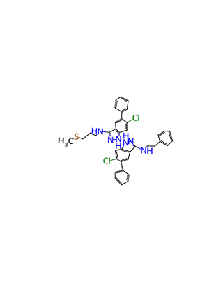 CSCCCNc1n[nH]c2cc(Cl)c(-c3ccccc3)cc12.Clc1cc2[nH]nc(NCCc3ccccc3)c2cc1-c1ccccc1